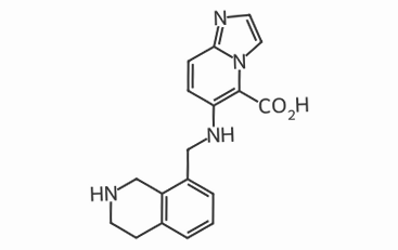 O=C(O)c1c(NCc2cccc3c2CNCC3)ccc2nccn12